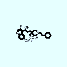 COc1ccc2ncc(F)c(C(O)CCC3(CC(=O)O)CCN(CCC4CCCCC4)CC3)c2c1